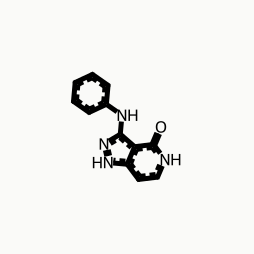 O=c1[nH]ccc2[nH]nc(Nc3ccccc3)c12